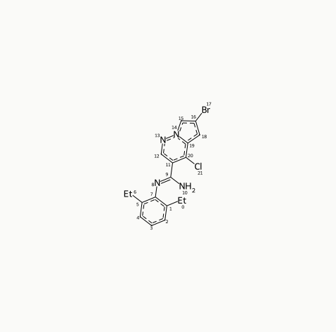 CCc1cccc(CC)c1/N=C(\N)c1cnn2cc(Br)cc2c1Cl